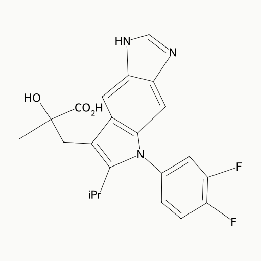 CC(C)c1c(CC(C)(O)C(=O)O)c2cc3[nH]cnc3cc2n1-c1ccc(F)c(F)c1